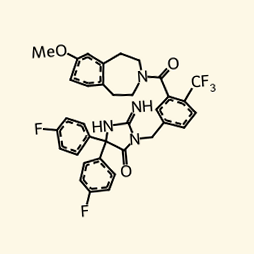 COc1ccc2c(c1)CCN(C(=O)c1cc(CN3C(=N)NC(c4ccc(F)cc4)(c4ccc(F)cc4)C3=O)ccc1C(F)(F)F)CC2